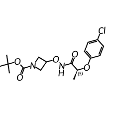 C[C@H](Oc1ccc(Cl)cc1)C(=O)NOC1CN(C(=O)OC(C)(C)C)C1